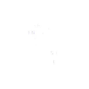 CNc1ccc(NC)c(F)c1F